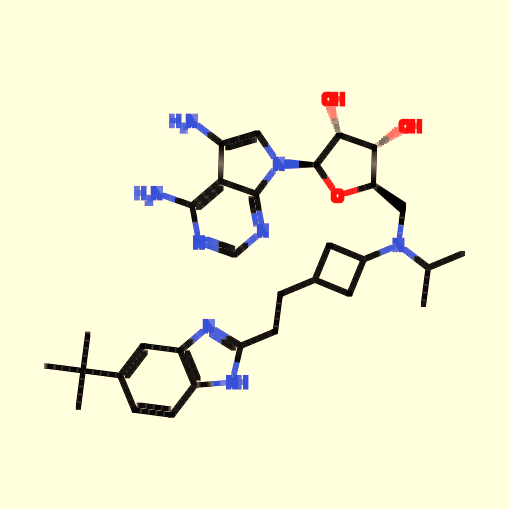 CC(C)N(C[C@H]1O[C@@H](n2cc(N)c3c(N)ncnc32)[C@H](O)[C@@H]1O)C1CC(CCc2nc3cc(C(C)(C)C)ccc3[nH]2)C1